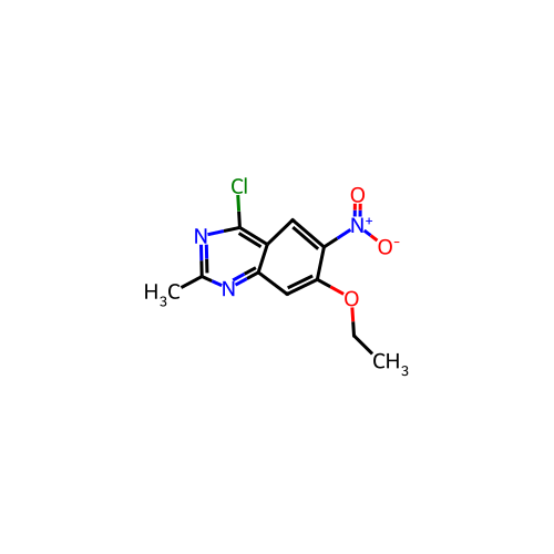 CCOc1cc2nc(C)nc(Cl)c2cc1[N+](=O)[O-]